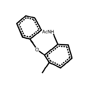 CC(=O)Nc1cccc(C)c1Oc1ccccc1